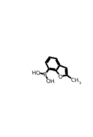 Cc1cc2cccc(B(O)O)c2o1